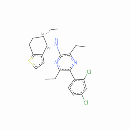 CCc1nc(-c2ccc(Cl)cc2Cl)c(CC)nc1N[C@@H]1c2ccsc2CC[C@@H]1CC